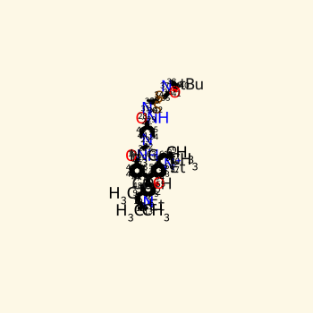 CCN1c2cc3c(cc2C(C)=CC1(C)C)C(c1cc(C(=O)NCCN2CCC(C(=O)Nc4ncc(SCc5ncc(C(C)(C)C)o5)s4)CC2)ccc1C(=O)O)=c1cc2c(cc1O3)=[N+](CC)C(C)(C)C=C2C